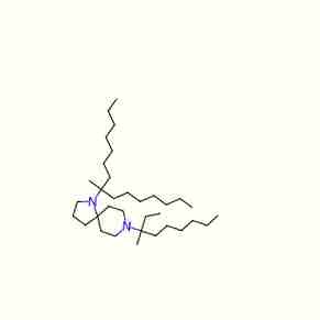 CCCCCCCC(C)(CCCCCCC)N1CCCC12CCN(C(C)(CC)CCCCCC)CC2